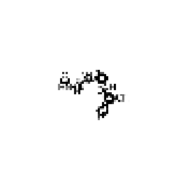 Cc1ccc(NC(=O)c2cc(N3CCN(C)CC3)cc(C(F)(F)F)c2)cc1-n1cc(-c2cnc(NC3CCOC3)s2)nn1